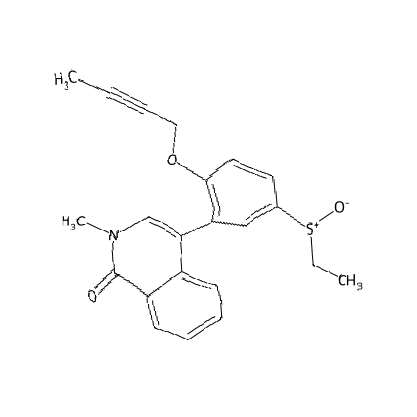 CC#CCOc1ccc([S+]([O-])CC)cc1-c1cn(C)c(=O)c2ccccc12